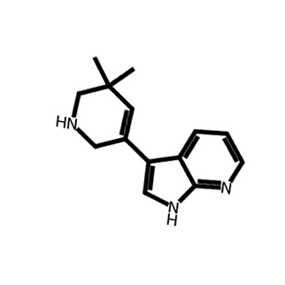 CC1(C)C=C(c2c[nH]c3ncccc23)CNC1